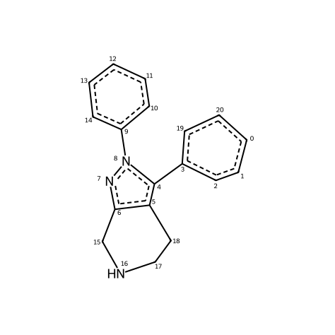 c1ccc(-c2c3c(nn2-c2ccccc2)CNCC3)cc1